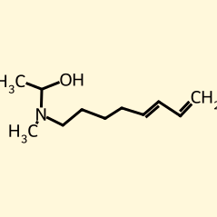 C=CC=CCCCCN(C)C(C)O